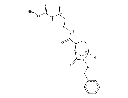 C[C@@H](CONC(=O)C1CC[C@@H]2CN1C(=O)N2OCc1ccccc1)NC(=O)OC(C)(C)C